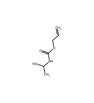 C=CCOC(=O)NC(C)O